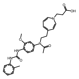 COc1cc(N(CCC2=CC=CN(CCC(=O)O)C=C2)C(C)=O)ccc1NC(=O)Nc1ccccc1C